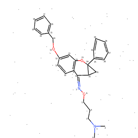 CN(C)CCCON=C1c2ccc(OCc3ccccc3)cc2OC2(c3ccccc3)CC12